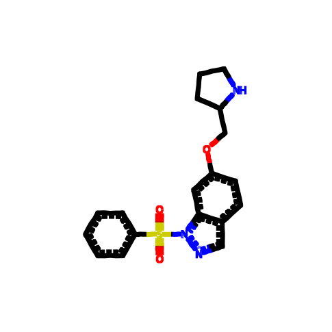 O=S(=O)(c1ccccc1)n1ncc2ccc(OCC3CCCN3)cc21